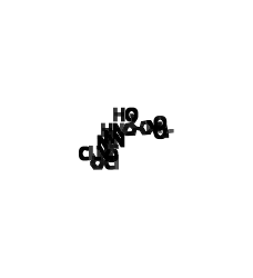 CN1CN(c2c(Cl)cccc2Cl)C(=O)c2cnc(Nc3ccc(C4=CCN(C(=O)OC(C)(C)C)CC4)c(CO)c3)nc21